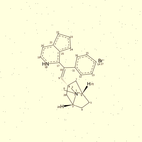 C[N+]1(C)[C@@H]2CC[C@H]1C[C@@H](/C=C(\c1ccccc1)c1[nH]ccc3cccc1-3)C2.[Br-]